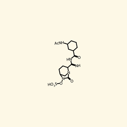 CC(=O)NC1CCCC(C(=O)NC(=N)C2CCC3CN2C(=O)N3OS(=O)(=O)O)C1